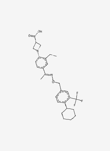 CCc1cc(C(C)=NOCc2ccc(C3CCCCC3)c(C(F)(F)F)c2)ccc1N1CC(C(=O)O)C1